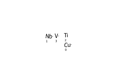 [Cu].[Nb].[Ti].[V]